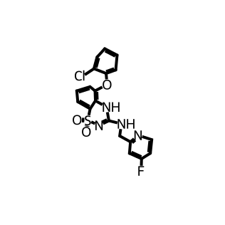 O=S1(=O)N=C(NCc2cc(F)ccn2)Nc2c(Oc3ccccc3Cl)cccc21